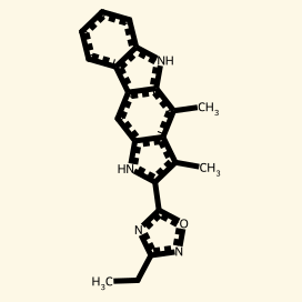 CCc1noc(-c2[nH]c3cc4c([nH]c5ccccc54)c(C)c3c2C)n1